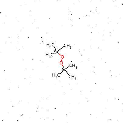 C[Si](C)(C)OO[Si](C)(C)C